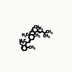 C=C(C)C/C=C(\C)C(=C)N(CC)CC1(C)CCC/C(=C/C(=C)C2=C(C)CCC=C2C)C1